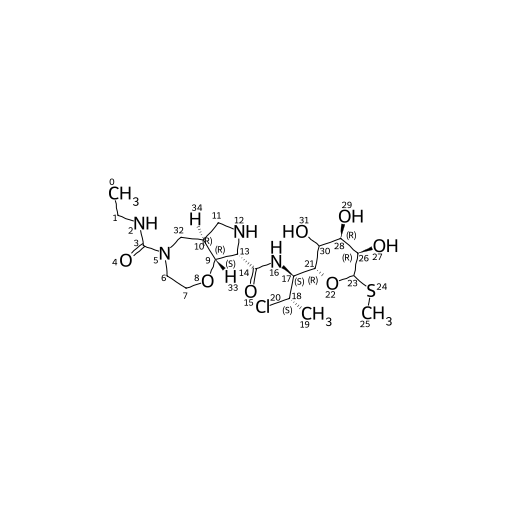 CCNC(=O)N1CCO[C@@H]2[C@H](CN[C@@H]2C(=O)N[C@H]([C@H](C)Cl)[C@H]2OC(SC)[C@H](O)[C@H](O)C2O)C1